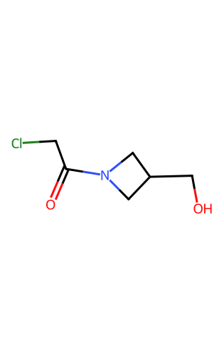 O=C(CCl)N1CC(CO)C1